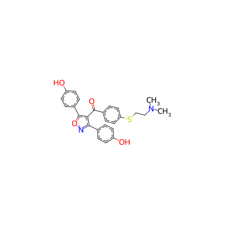 CN(C)CCSc1ccc(C(=O)c2c(-c3ccc(O)cc3)noc2-c2ccc(O)cc2)cc1